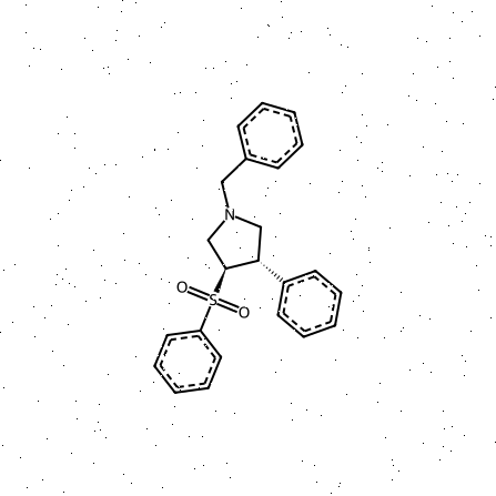 O=S(=O)(c1ccccc1)[C@H]1CN(Cc2ccccc2)C[C@@H]1c1ccccc1